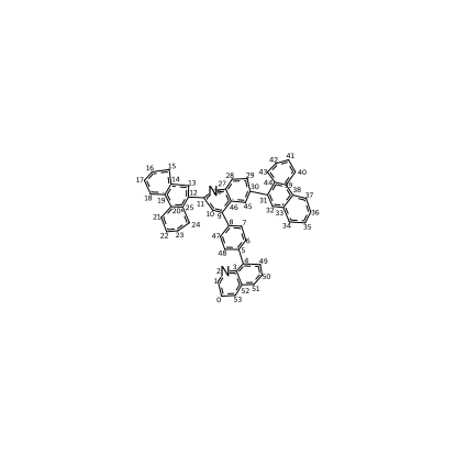 c1cnc2c(-c3ccc(-c4cc(-c5cc6ccccc6c6ccccc56)nc5ccc(-c6cc7ccccc7c7ccccc67)cc45)cc3)cccc2c1